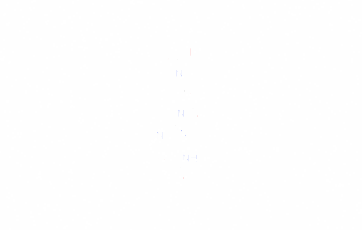 O=C1COc2ncc(N3CC4(CN(C(=O)O)C4)OC3=O)nc2N1